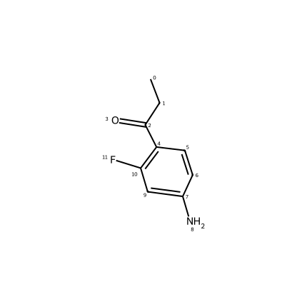 CCC(=O)c1ccc(N)cc1F